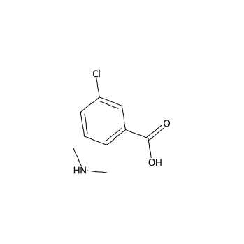 CNC.O=C(O)c1cccc(Cl)c1